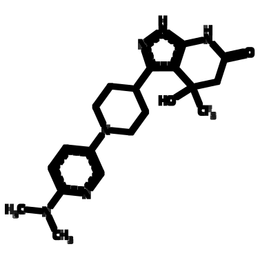 CN(C)c1ccc(N2CCC(c3n[nH]c4c3C(O)(C(F)(F)F)CC(=O)N4)CC2)cn1